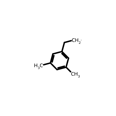 [CH2]Cc1cc(C)cc(C)c1